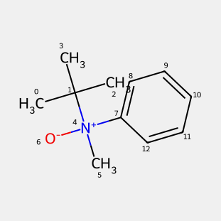 CC(C)(C)[N+](C)([O-])c1ccccc1